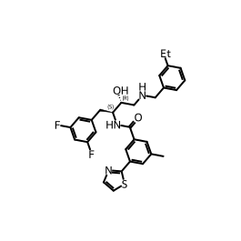 CCc1cccc(CNC[C@@H](O)[C@H](Cc2cc(F)cc(F)c2)NC(=O)c2cc(C)cc(-c3nccs3)c2)c1